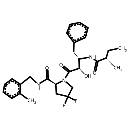 CC[C@H](C)C(=O)N[C@@H](Cc1ccccc1)[C@H](O)C(=O)N1CC(F)(F)C[C@H]1C(=O)NCc1ccccc1C